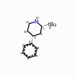 CC(C)(C)[C@@H]1C[C@H](c2ccccc2)CC[N]1